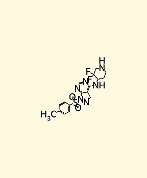 Cc1ccc(S(=O)(=O)n2ncc3c(N[C@@H]4CCNCC4(F)F)ncnc32)cc1